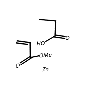 C=CC(=O)OC.CCC(=O)O.[Zn]